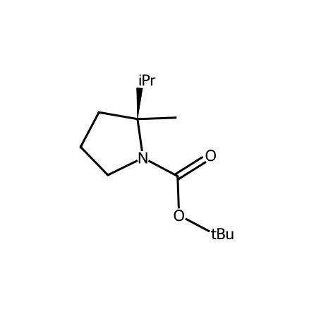 CC(C)[C@]1(C)CCCN1C(=O)OC(C)(C)C